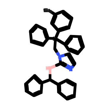 CC(C)(C)c1cccc([Si](Cn2ccnc2BC(c2ccccc2)c2ccccc2)(c2ccccc2)c2ccccc2)c1